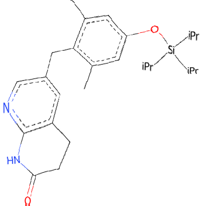 Cc1cc(O[Si](C(C)C)(C(C)C)C(C)C)cc(C)c1Cc1cnc2c(c1)CCC(=O)N2